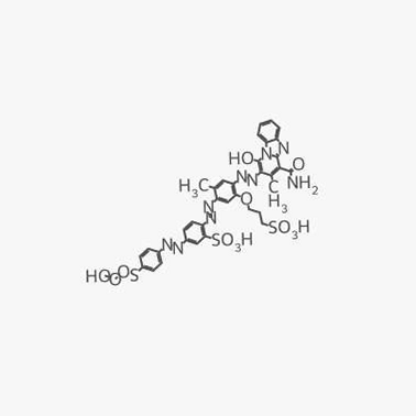 Cc1cc(N=Nc2c(C)c(C(N)=O)c3nc4ccccc4n3c2O)c(OCCCS(=O)(=O)O)cc1N=Nc1ccc(N=Nc2ccc(SOOO)cc2)cc1S(=O)(=O)O